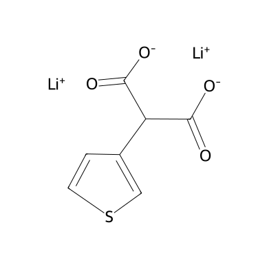 O=C([O-])C(C(=O)[O-])c1ccsc1.[Li+].[Li+]